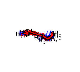 CCNC(=O)c1cc2c(-c3cc(C(C)(C)O)ccc3Oc3c(C)cc(OCCOCCOCCOCCOCCOCCOCCOCCOCCNC(=O)CCNC(=O)c4nc(NC(=O)CCNC(=O)c5cc(NC(=O)c6nc(NC(=O)CCNC(=O)c7cc(NC(=O)c8nccn8C)cn7C)cn6C)cn5C)cn4C)cc3C)cn(C)c(=O)c2[nH]1